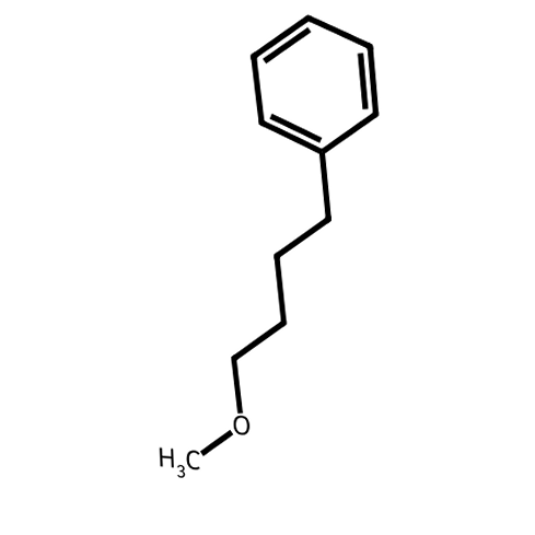 COCCCCc1ccccc1